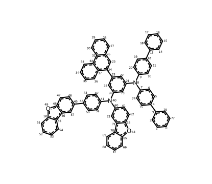 c1ccc(-c2ccc(N(c3ccc(-c4ccccc4)cc3)c3cc(-c4cc5ccccc5c5ccccc45)cc(N(c4ccc(-c5ccc6oc7ccccc7c6c5)cc4)c4ccc5oc6ccccc6c5c4)c3)cc2)cc1